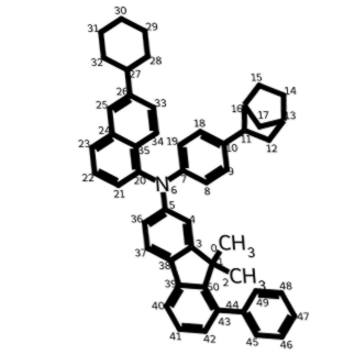 CC1(C)c2cc(N(c3ccc(C4CC5CCC4C5)cc3)c3cccc4cc(C5CCCCC5)ccc34)ccc2-c2cccc(-c3ccccc3)c21